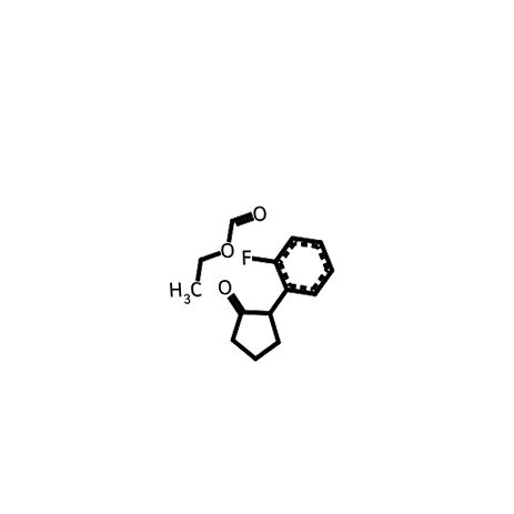 CCOC=O.O=C1CCCC1c1ccccc1F